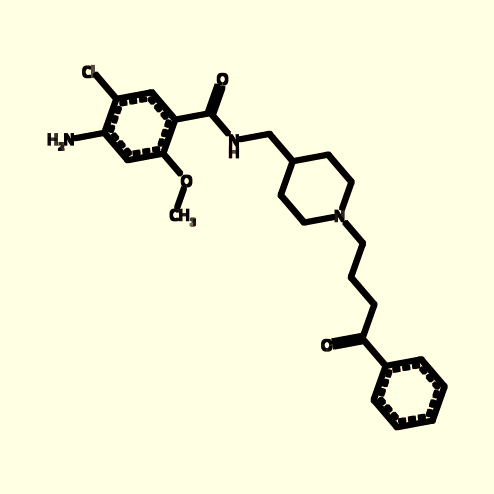 COc1cc(N)c(Cl)cc1C(=O)NCC1CCN(CCCC(=O)c2ccccc2)CC1